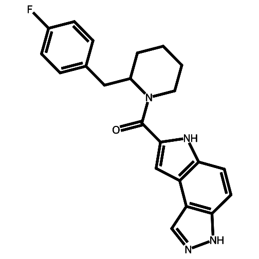 O=C(c1cc2c(ccc3[nH]ncc32)[nH]1)N1CCCCC1Cc1ccc(F)cc1